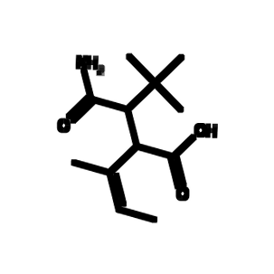 CC=C(C)C(C(=O)O)C(C(N)=O)C(C)(C)C